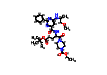 CCOC(=O)N1CCN(C(=O)C(CCC(=O)OC(C)(C)C)NC(=O)c2cc(NC(C)COC)nc(-c3ccccc3)n2)CC1